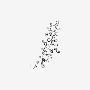 COCC12CN(S(=O)(=O)c3cc4cc(Cl)ccc4[nH]3)CC(=O)N1CC1(CCN(C(=O)CN)CC1)N2C